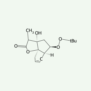 CC1C(=O)O[C@]23CC=CC[C@@H]2[C@H](OOC(C)(C)C)C[C@]13O